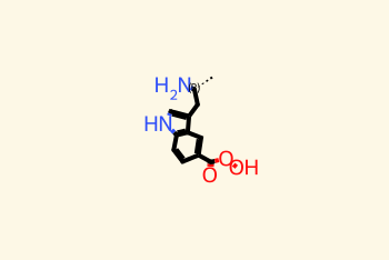 C[C@@H](N)Cc1c[nH]c2ccc(C(=O)OO)cc12